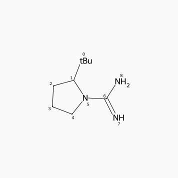 CC(C)(C)C1CCCN1C(=N)N